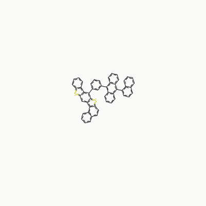 c1cc(-c2c3ccccc3c(-c3cccc4ccccc34)c3ccccc23)cc(-c2c3sc4ccc5ccccc5c4c3cc3sc4ccccc4c23)c1